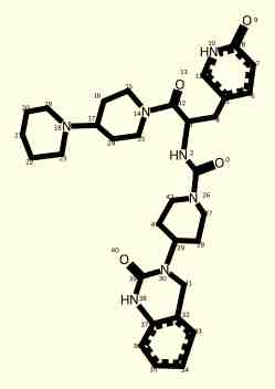 O=C(NC(Cc1ccc(=O)[nH]c1)C(=O)N1CCC(N2CCCCC2)CC1)N1CCC(N2Cc3ccccc3NC2=O)CC1